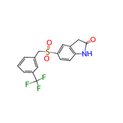 O=C1Cc2cc(S(=O)(=O)Cc3cccc(C(F)(F)F)c3)ccc2N1